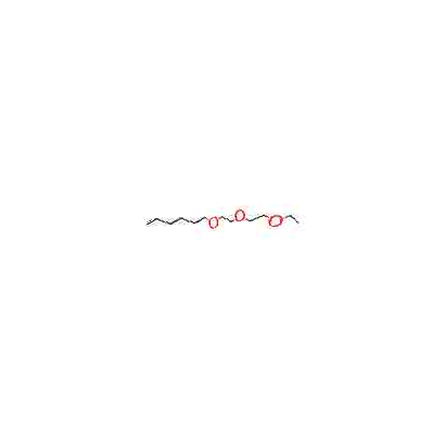 CCCCCCOCCOCCOCC